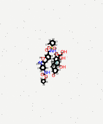 COc1cc(C(=O)NS(=O)(=O)c2ccccc2C)ccc1Cc1cn(C)c2ccc(NC(=O)OC3CCCC3)cc12.C[C@@H]1C[C@H]2[C@@H]3CCC4=CC(=O)C=C[C@]4(C)[C@@]3(F)[C@@H](O)C[C@]2(C)[C@@]1(O)C(=O)CO